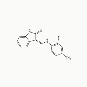 Cc1ccc(NC=C2C(=O)Nc3ccccc32)c(F)c1